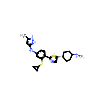 CN[C@H]1CC[C@@H](c2cnc(-c3ccc(Nc4cc(C)[nH]n4)cc3SC3CC3)s2)CC1